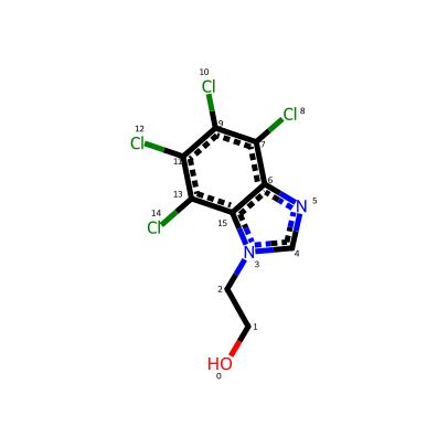 OCCn1cnc2c(Cl)c(Cl)c(Cl)c(Cl)c21